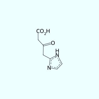 O=C(O)CC(=O)Cc1ncc[nH]1